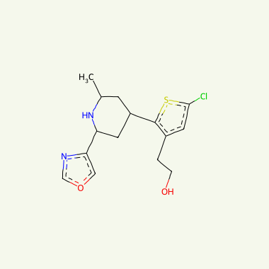 CC1CC(c2sc(Cl)cc2CCO)CC(c2cocn2)N1